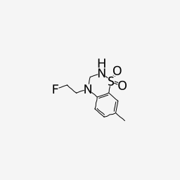 Cc1ccc2c(c1)S(=O)(=O)NCN2CCF